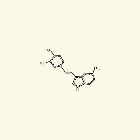 Cc1ccc2[nH]cc(/C=C/c3ccc(C)c(C)c3)c2c1